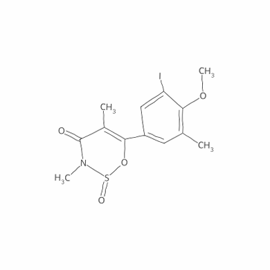 COc1c(C)cc(C2=C(C)C(=O)N(C)S(=O)O2)cc1I